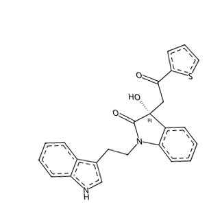 O=C(C[C@]1(O)C(=O)N(CCc2c[nH]c3ccccc23)c2ccccc21)c1cccs1